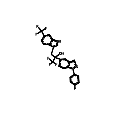 OC(Cc1c[nH]c2cc(C(F)(F)F)ccc12)(c1ccc2c(cnn2-c2ccc(F)cc2)c1)C(F)(F)F